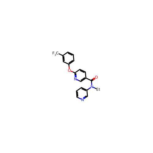 CCN(C(=O)c1ccc(Oc2cccc(C(F)(F)F)c2)nc1)c1cccnc1